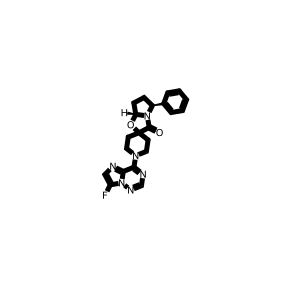 O=C1N2[C@@H](CC[C@H]2c2ccccc2)OC12CCN(c1ncnn3c(F)cnc13)CC2